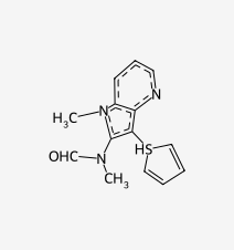 CN(C=O)c1c([SH]2C=CC=C2)c2ncccc2n1C